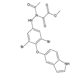 COC(=O)C(=O)N(Nc1cc(Br)c(Oc2ccc3[nH]ccc3c2)c(Br)c1)C(C)=O